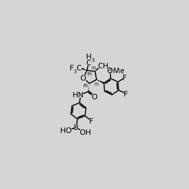 COc1c([C@H]2[C@H](C(=O)Nc3ccc(B(O)O)c(F)c3)O[C@@](C)(C(F)(F)F)[C@H]2C)ccc(F)c1F